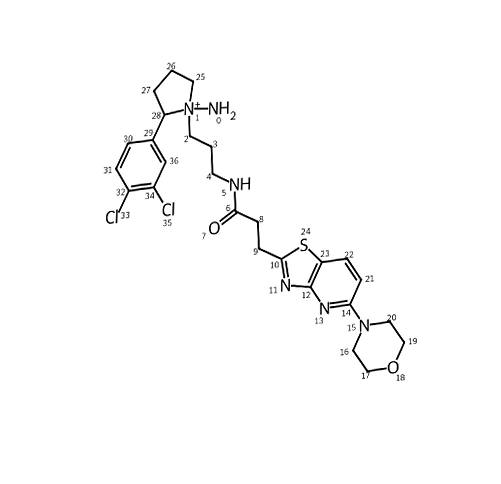 N[N+]1(CCCNC(=O)CCc2nc3nc(N4CCOCC4)ccc3s2)CCCC1c1ccc(Cl)c(Cl)c1